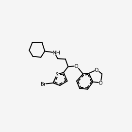 Brc1ccc(C(CCNC2CCCCC2)Oc2cccc3c2OCO3)s1